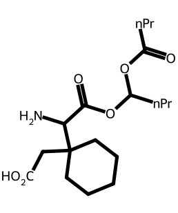 CCCC(=O)OC(CCC)OC(=O)C(N)C1(CC(=O)O)CCCCC1